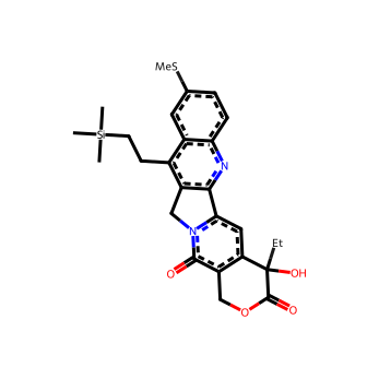 CCC1(O)C(=O)OCc2c1cc1n(c2=O)Cc2c-1nc1ccc(SC)cc1c2CC[Si](C)(C)C